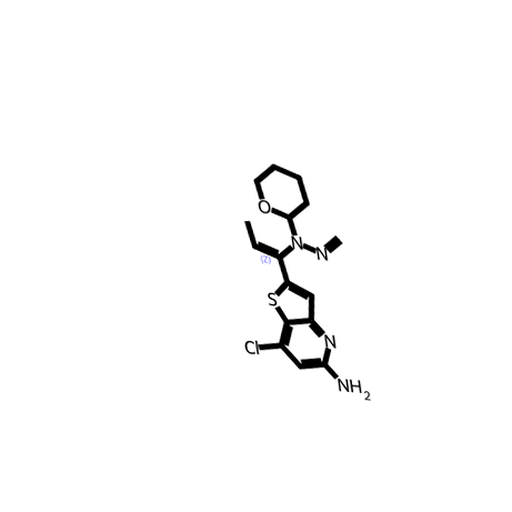 C=NN(/C(=C\C)c1cc2nc(N)cc(Cl)c2s1)C1CCCCO1